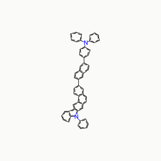 c1ccc(N(c2ccccc2)c2ccc(-c3ccc4cc(-c5ccc6c(ccc7cc8c(cc76)c6ccccc6n8-c6ccccc6)c5)ccc4c3)cc2)cc1